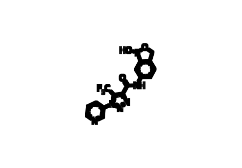 O=C(Nc1ccc2c(c1)B(O)OC2)c1nnn(-c2cccnc2)c1C(F)(F)F